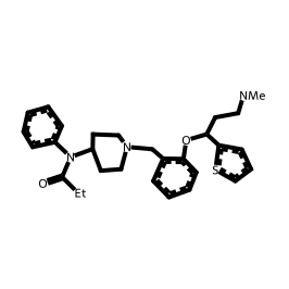 CCC(=O)N(c1ccccc1)C1CCN(Cc2ccccc2OC(CCNC)c2cccs2)CC1